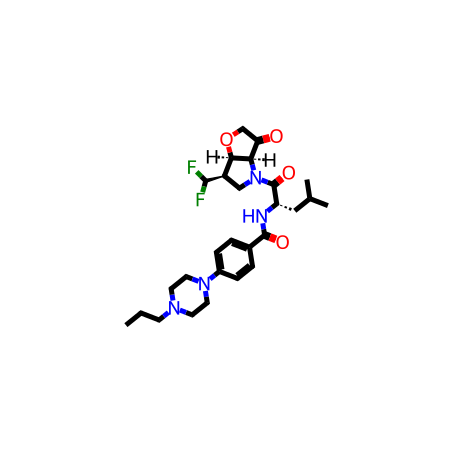 CCCN1CCN(c2ccc(C(=O)N[C@@H](CC(C)C)C(=O)N3C[C@@H](C(F)F)[C@H]4OCC(=O)[C@H]43)cc2)CC1